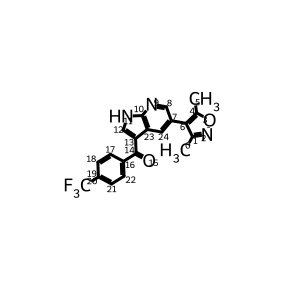 Cc1noc(C)c1-c1cnc2[nH]cc(C(=O)c3ccc(C(F)(F)F)cc3)c2c1